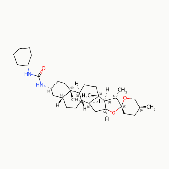 C[C@H]1CC[C@@]2(OC1)O[C@H]1C[C@H]3[C@@H]4CC[C@@H]5C[C@H](NC(=O)NC6CCCCC6)CC[C@]5(C)[C@H]4CC[C@]3(C)[C@H]1[C@@H]2C